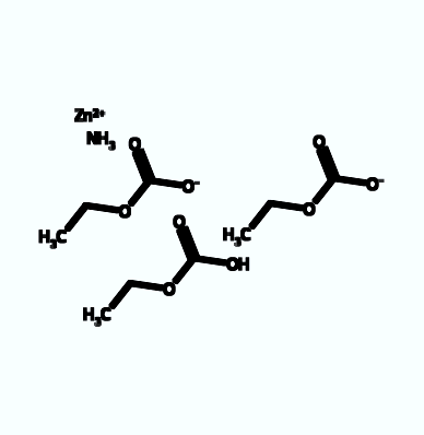 CCOC(=O)O.CCOC(=O)[O-].CCOC(=O)[O-].N.[Zn+2]